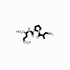 CC(CN)C(=O)N1CCC[C@H]1C(=O)N[C@@H](CCC(=O)O)C(=O)O